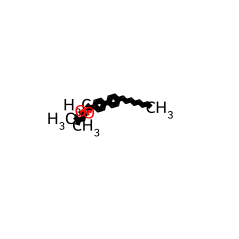 CCCCCCCCc1ccc(-c2ccc(C(C)OC(=O)CC(C)CC)cc2)cc1